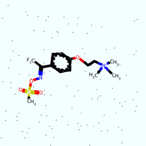 C[N+](C)(C)CCOc1ccc(/C(=N/OS(C)(=O)=O)C(F)(F)F)cc1